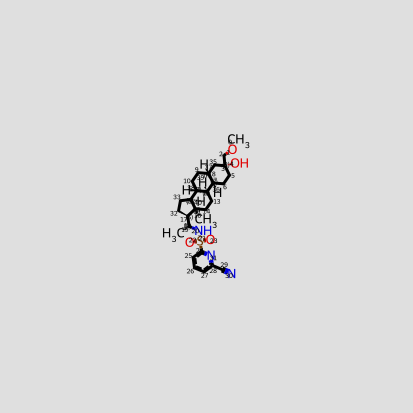 COC[C@@]1(O)CC[C@H]2[C@H](CC[C@@H]3[C@@H]2CC[C@]2(C)[C@@H]([C@@H](C)NS(=O)(=O)c4cccc(C#N)n4)CC[C@@H]32)C1